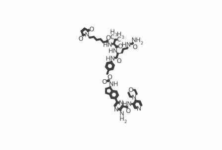 CC(C)C(NC(=O)CCCCCN1C(=O)C=CC1=O)C(=O)N[C@@H](CCCNC(N)=O)C(=O)Nc1ccc(COC(=O)NC2CCc3cc(-c4cnc(N)c(C(=O)Nc5cnccc5N5CCOCC5)n4)ccc32)cc1